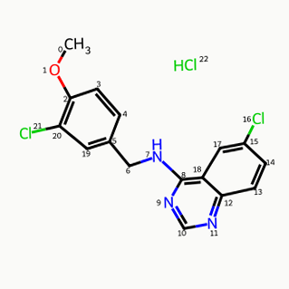 COc1ccc(CNc2ncnc3ccc(Cl)cc23)cc1Cl.Cl